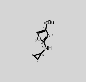 CC(C)(C)c1coc(NC2CC2)n1